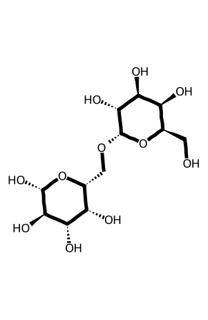 OC[C@H]1O[C@H](OC[C@H]2O[C@@H](O)[C@H](O)[C@@H](O)[C@H]2O)[C@H](O)[C@@H](O)[C@H]1O